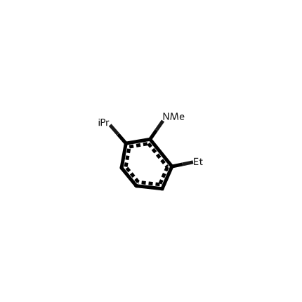 CCc1cccc(C(C)C)c1NC